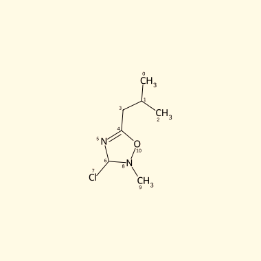 CC(C)CC1=NC(Cl)N(C)O1